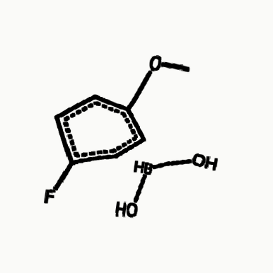 COc1ccc(F)cc1.OBO